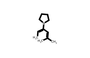 C/C=C(\C=C(C)C)N1CCCC1